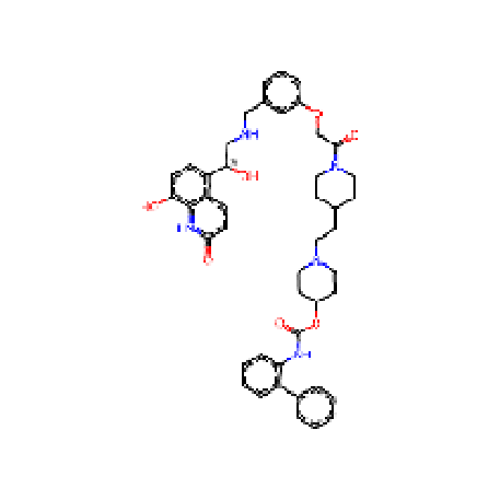 O=C(Nc1ccccc1-c1ccccc1)OC1CCN(CCC2CCN(C(=O)COc3cccc(CNC[C@@H](O)c4ccc(O)c5[nH]c(=O)ccc45)c3)CC2)CC1